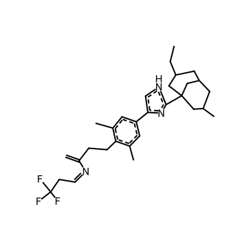 C=C(CCc1c(C)cc(-c2c[nH]c(C34CC(C)CC(CC(CC)C3)C4)n2)cc1C)/N=C\CC(F)(F)F